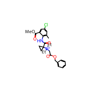 CC[N+](CC)(CC(=O)OCc1ccccc1)C1(C(=O)Nc2c(C)cc(Cl)cc2C(=O)OC)CC1